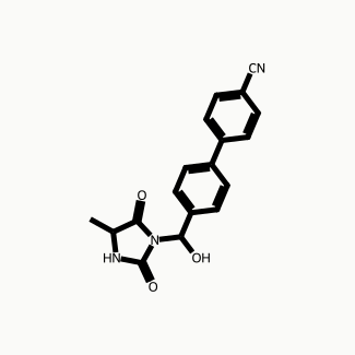 CC1NC(=O)N(C(O)c2ccc(-c3ccc(C#N)cc3)cc2)C1=O